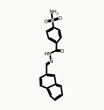 NS(=O)(=O)c1ccc(C(=O)NN=Cc2ccc3ccccc3c2)cc1